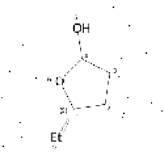 CC[C@H]1CCC(O)O1